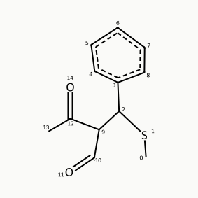 CSC(c1ccccc1)C([C]=O)C(C)=O